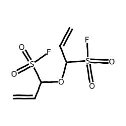 C=CC(OC(C=C)S(=O)(=O)F)S(=O)(=O)F